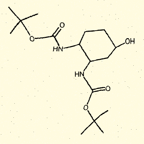 CC(C)(C)OC(=O)NC1CCC(O)CC1NC(=O)OC(C)(C)C